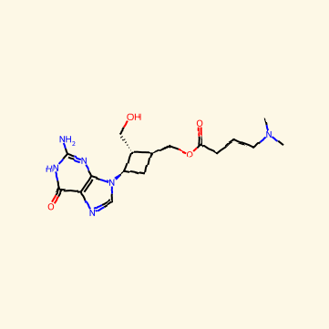 CN(C)CCCC(=O)OC[C@H]1C[C@@H](n2cnc3c(=O)[nH]c(N)nc32)[C@@H]1CO